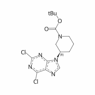 CC(C)(C)OC(=O)N1CCC[C@@H](n2cnc3c(Cl)nc(Cl)nc32)C1